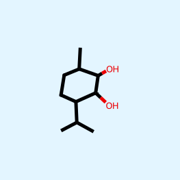 CC(C)C1CCC(C)C(O)[C]1O